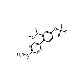 COC(C)c1cc(OC(F)(F)F)ccc1-c1cnc(NN)cn1